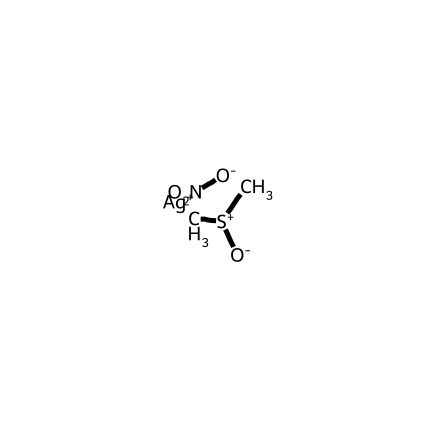 C[S+](C)[O-].O=[N+]([O-])[O-].[Ag+]